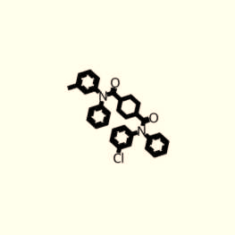 Cc1cccc(N(C(=O)C2CCC(C(=O)N(c3ccccc3)c3cccc(Cl)c3)CC2)c2ccccc2)c1